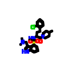 CC1CCN(C(=O)C(CCc2ccccc2Cl)NS(=O)(=O)c2cccc3[nH]cc(CN(C)C)c23)CC1